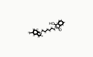 O=C1c2ccccc2C(O)N1CCCCCCn1ccc2cc(I)ccc21